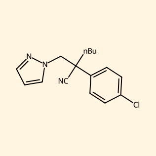 CCCCC(C#N)(Cn1cccn1)c1ccc(Cl)cc1